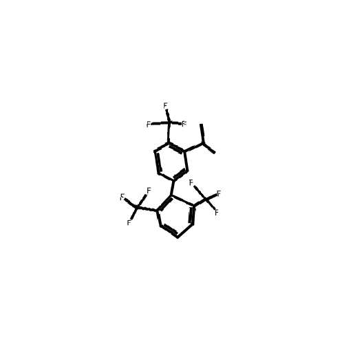 CC(C)c1cc(-c2c(C(F)(F)F)cccc2C(F)(F)F)ccc1C(F)(F)F